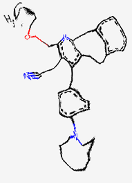 CCOc1nc2c(c(-c3ccc(N4CCCCC4)cc3)c1C#N)Cc1ccccc1-2